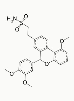 COc1ccc(C2Oc3cccc(OC)c3-c3ccc(CCS(N)(=O)=O)cc32)cc1OC